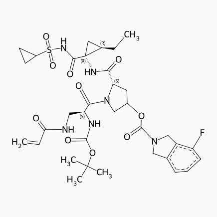 C=CC(=O)NC[C@H](NC(=O)OC(C)(C)C)C(=O)N1CC(OC(=O)N2Cc3cccc(F)c3C2)C[C@H]1C(=O)N[C@]1(C(=O)NS(=O)(=O)C2CC2)C[C@H]1CC